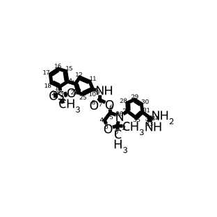 CC1(C)OCC(OC(=O)Nc2ccc(-c3ccccc3S(C)(=O)=O)cc2)N1c1cccc(C(=N)N)c1